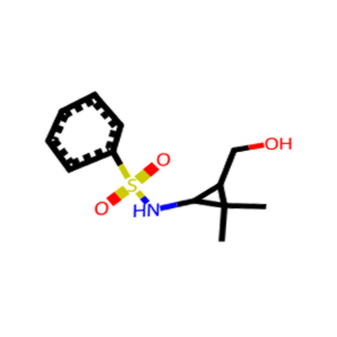 CC1(C)C(CO)C1NS(=O)(=O)c1ccccc1